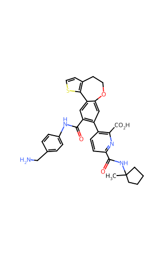 CC1(NC(=O)c2ccc(-c3cc4c(cc3C(=O)Nc3ccc(CN)cc3)-c3sccc3CCO4)c(C(=O)O)n2)CCCC1